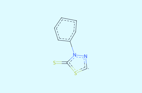 S=c1s[c]nn1-c1ccccc1